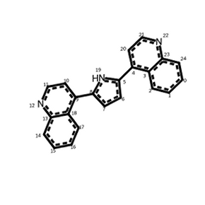 c1ccc2c(-c3ccc(-c4ccnc5ccccc45)[nH]3)ccnc2c1